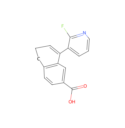 O=C(O)c1ccc2c(c1)C(c1cccnc1F)=CCC2